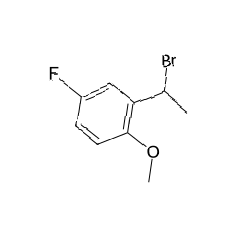 COc1ccc(F)cc1C(C)Br